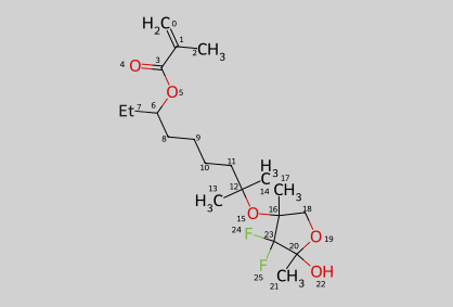 C=C(C)C(=O)OC(CC)CCCCC(C)(C)OC1(C)COC(C)(O)C1(F)F